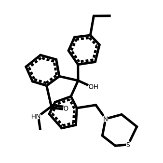 CCc1ccc(C(O)(c2ccccc2CN2CCSCC2)c2ccccc2C(=O)NC)cc1